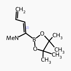 C=C/C=C(\NC)B1OC(C)(C)C(C)(C)O1